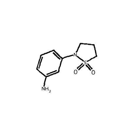 Nc1cccc(N2CCCS2(=O)=O)c1